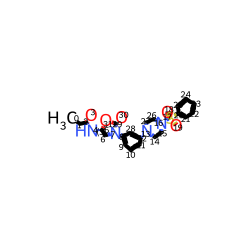 CCC(=O)N[C@@H]1CN(c2cccc(N3CCN(S(=O)(=O)c4ccccc4)CC3)c2)C(=O)O1